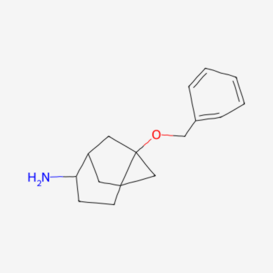 NC1CCC23CC1CC2(OCc1ccccc1)C3